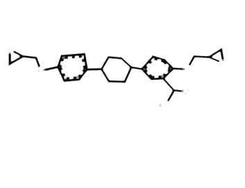 CCCC(CC)c1cc(C2CCC(c3ccc(OCC4CO4)cc3)CC2)ccc1OCC1CO1